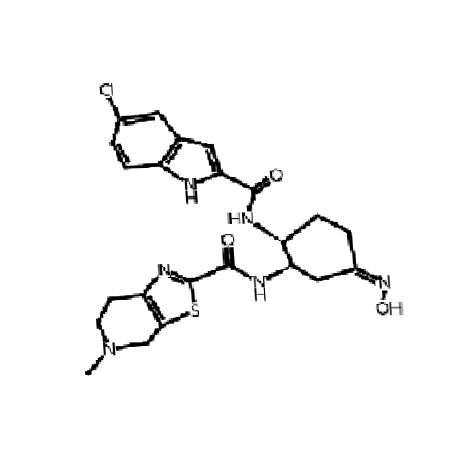 CN1CCc2nc(C(=O)N[C@@H]3CC(=NO)CC[C@@H]3NC(=O)c3cc4cc(Cl)ccc4[nH]3)sc2C1